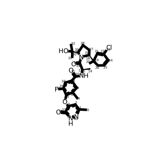 Cc1cc(Oc2c(C)cc(C(=O)N[C@H](C)C(=O)N3[C@H](C4(C)C=C(Cl)C=CC4)CC[C@@H]3C(C)(C)O)cc2F)c(=O)[nH]n1